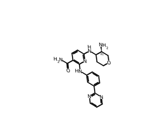 NC(=O)c1ccc(NC2CCOC[C@@H]2N)nc1Nc1cccc(-c2ncccn2)c1